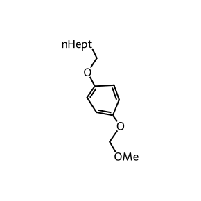 CCCCCCCCOc1ccc(OCOC)cc1